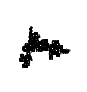 CC(O)C(=O)O.CCCCOCC(CN1C(=O)NC(=O)C(CC)(c2ccccc2)C1=O)OC(N)=O.O=C(O)CC(=O)O.O=C(O)CC(O)(CC(=O)O)C(=O)O.O=C([O-])CC(O)(CC(=O)[O-])C(=O)[O-].O=C([O-])CCC(=O)O.[Na+].[Na+].[Na+].[Na+]